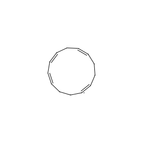 [C]1=CCCC=CCC=CC=CCC1